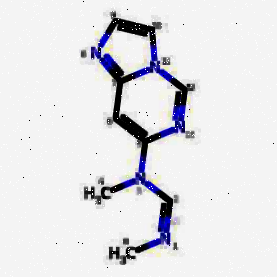 C/N=C\N(C)c1cc2nccn2cn1